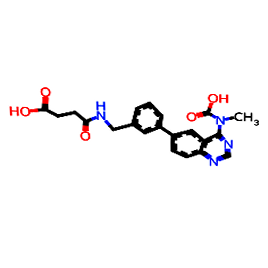 CN(C(=O)O)c1ncnc2ccc(-c3cccc(CNC(=O)CCC(=O)O)c3)cc12